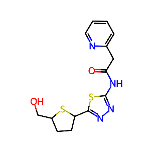 O=C(Cc1ccccn1)Nc1nnc(C2CCC(CO)S2)s1